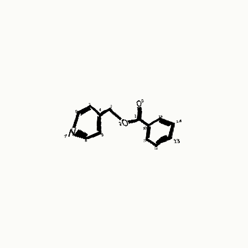 O=C(OCc1ccncc1)c1ccccc1